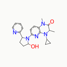 CC1C(=O)N(C)c2ccc(N3C(O)CCC3c3ccccn3)nc2N1C1CC1